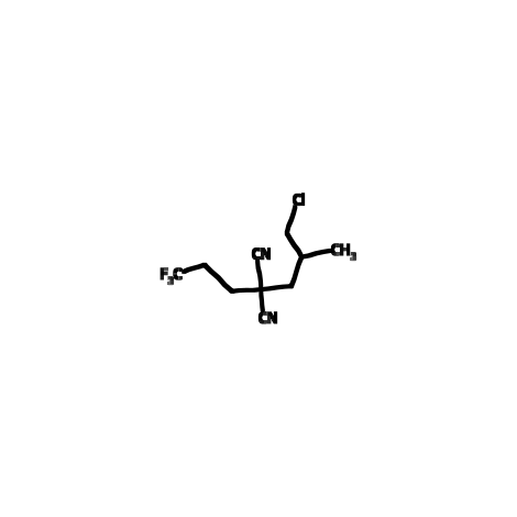 CC(CCl)CC(C#N)(C#N)CCC(F)(F)F